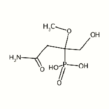 COC(CO)(CC(N)=O)P(=O)(O)O